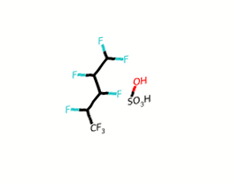 FC(F)C(F)C(F)C(F)C(F)(F)F.O=S(=O)(O)O